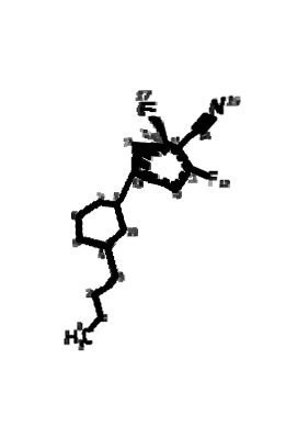 CCCCC1[CH]CCC(c2cc(F)c(C#N)c(F)c2)C1